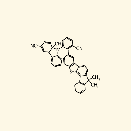 CC1(C)C2=C(CCC=C2)c2c1ccc1c2sc2ccc(-c3c(C#N)cccc3N3c4ccccc4C4C=C(C#N)C=CC43C)cc21